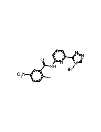 CC(C)n1cnnc1-c1cccc(NC(=O)c2cc([N+](=O)[O-])ccc2F)n1